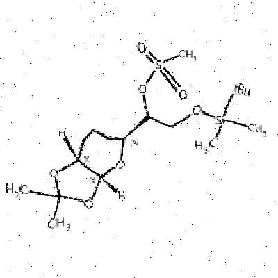 CC1(C)O[C@H]2O[C@H](C(CO[Si](C)(C)C(C)(C)C)OS(C)(=O)=O)C[C@H]2O1